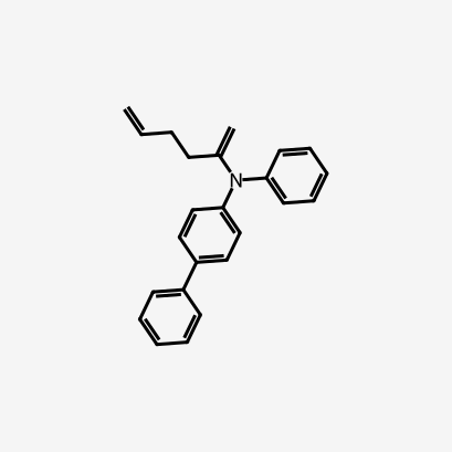 C=CCCC(=C)N(c1ccccc1)c1ccc(-c2ccccc2)cc1